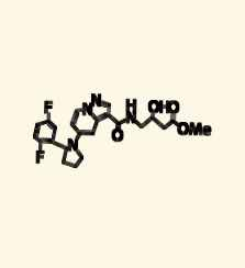 COC(=O)CC(O)CNC(=O)c1cnn2ccc(N3CCCC3c3cc(F)ccc3F)cc12